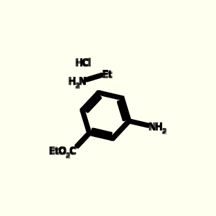 CCN.CCOC(=O)c1cccc(N)c1.Cl